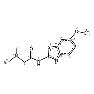 [CH2]C(=O)N(C)CC(=O)Nc1nc2ccc(OC(F)(F)F)cc2s1